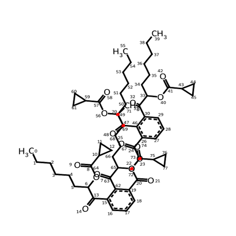 CCCCCCC(OC(=O)C1CC1)C(=O)c1cccc(C(=O)OOC(=O)c2cccc(C(=O)C(CCCCCC)OC(=O)C3CC3)c2C(=O)C(CCCCCC)OC(=O)C2CC2)c1C(=O)C(CCCCCC)OC(=O)C1CC1